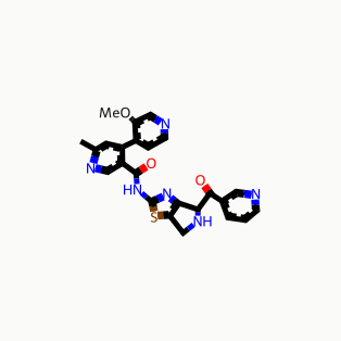 COc1cnccc1-c1cc(C)ncc1C(=O)Nc1nc2c(s1)CNC2C(=O)c1cccnc1